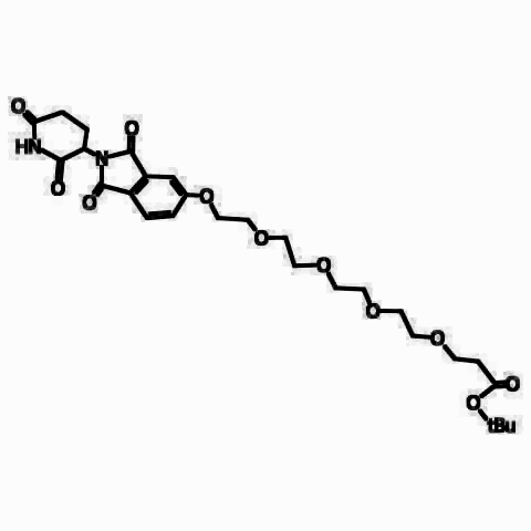 CC(C)(C)OC(=O)CCOCCOCCOCCOCCOc1ccc2c(c1)C(=O)N(C1CCC(=O)NC1=O)C2=O